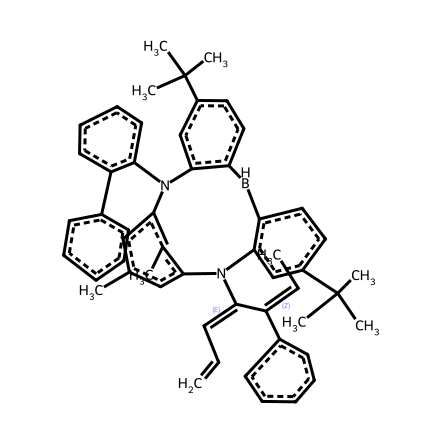 C=C/C=C(\C(=C/C)c1ccccc1)N1c2cc(C(C)(C)C)ccc2Bc2ccc(C(C)(C)C)cc2N(c2ccccc2-c2ccccc2)c2cc(C)cc1c2C